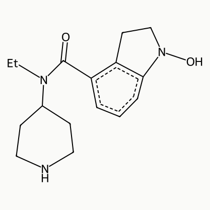 CCN(C(=O)c1cccc2c1CCN2O)C1CCNCC1